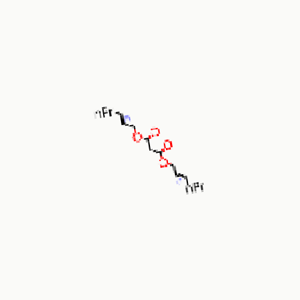 CCC/C=C/COC(=O)CC(=O)OC/C=C/CCC